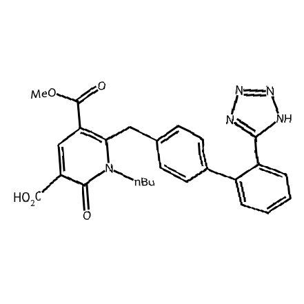 CCCCn1c(Cc2ccc(-c3ccccc3-c3nnn[nH]3)cc2)c(C(=O)OC)cc(C(=O)O)c1=O